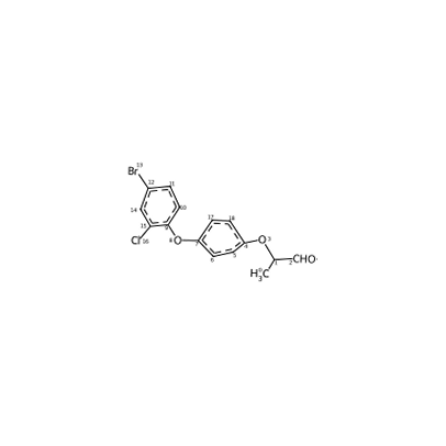 CC([C]=O)Oc1ccc(Oc2ccc(Br)cc2Cl)cc1